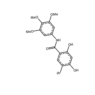 COc1cc(NC(=O)c2cc(C(C)C)c(O)cc2O)cc(OC)c1OC